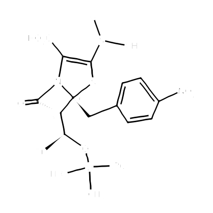 CC[C@H](O[Si](C)(C)C(C)(C)C)[C@@H]1C(=O)N2C(C(=O)O)=C([S+](C)[O-])S[C@]12Cc1ccc([N+](=O)[O-])cc1